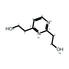 OCCc1ccnc(CCO)n1